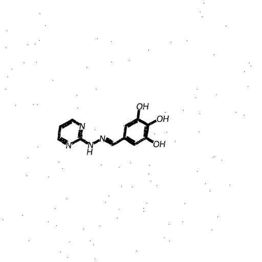 Oc1cc(C=NNc2ncccn2)cc(O)c1O